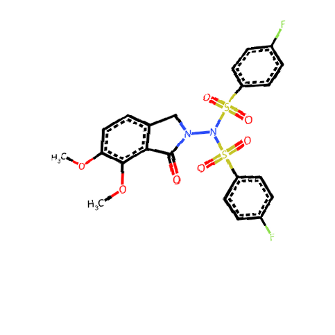 COc1ccc2c(c1OC)C(=O)N(N(S(=O)(=O)c1ccc(F)cc1)S(=O)(=O)c1ccc(F)cc1)C2